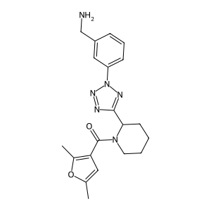 Cc1cc(C(=O)N2CCCCC2c2nnn(-c3cccc(CN)c3)n2)c(C)o1